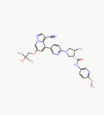 COc1ccc(NC(=O)[C@@H]2CN(c3ccc(-c4cc(OCC(C)(C)O)cn5ncc(C#N)c45)cn3)CC2C)cn1